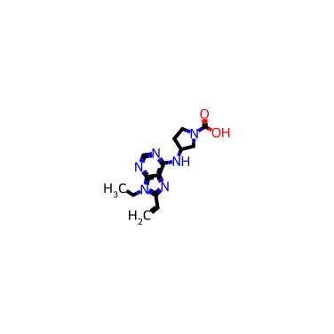 C=Cc1nc2c(NC3CCN(C(=O)O)C3)ncnc2n1CC